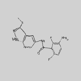 CSc1n[nH]c2ncc(NC(=O)c3c(F)ccc(N)c3F)cc12